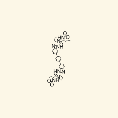 C=CC[C@H](NC(=O)OC)C(=O)N1CCC[C@H]1c1nc2ccc(-c3ccc(-c4ccc5nc([C@@H]6CCCN6C(=O)C(NC(=O)OC)C(C)C)[nH]c5c4)cc3)cc2[nH]1